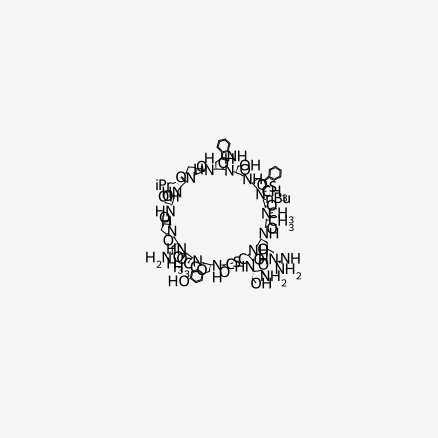 CCCC[C@H]1C(=O)N(C)[C@@H](C)C(=O)N[C@@H](CCCNC(=N)N)C(=O)NC(C(=O)N[C@@H](CO)C(N)=O)CSCC(=O)N[C@@H](Cc2ccc(O)cc2)C(=O)N(C)[C@@H](C)C(=O)N[C@@H](CC(N)=O)C(=O)N2CCC[C@H]2C(=O)N[C@@H](CO)C(=O)N[C@H](CC(C)C)C(=O)N2CCC[C@H]2C(=O)N[C@@H](Cc2c[nH]c3ccccc23)C(=O)N[C@@H](CO)C(=O)N[C@@H](Cc2csc3ccccc23)C(=O)N1C